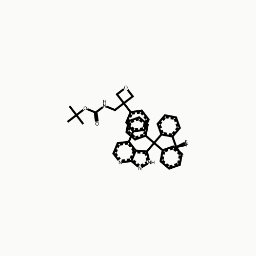 CC(C)(C)OC(=O)NCC1(c2cccc(-c3ccnc4n[nH]c(C(c5ccccc5)(c5ccccc5)c5ccccc5C(F)(F)F)c34)c2)COC1